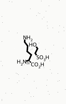 NCCCC[C@H](N)C(=O)O.O=S(=O)(O)CCO